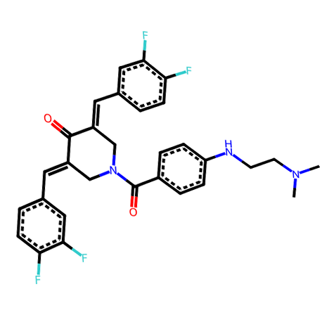 CN(C)CCNc1ccc(C(=O)N2CC(=Cc3ccc(F)c(F)c3)C(=O)C(=Cc3ccc(F)c(F)c3)C2)cc1